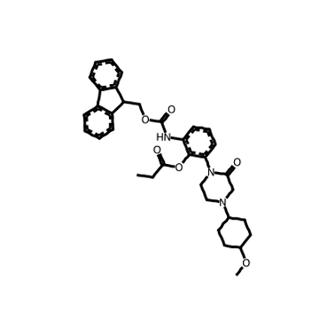 CCC(=O)Oc1c(NC(=O)OCC2c3ccccc3-c3ccccc32)cccc1N1CCN(C2CCC(OC)CC2)CC1=O